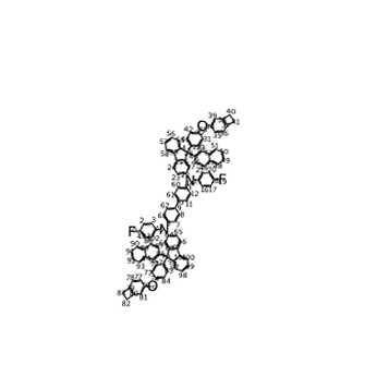 Fc1ccc(N(c2ccc(-c3ccc(N(c4ccc(F)cc4)c4ccc5c(c4)C(c4ccc(Oc6ccc7c(c6)CC7)cc4)(c4ccc6ccccc6c4)c4ccccc4-5)cc3)cc2)c2ccc3c(c2)C(c2ccc(Oc4ccc5c(c4)CC5)cc2)(c2ccc4ccccc4c2)c2ccccc2-3)cc1